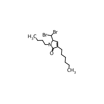 CCCCCCC1=CC(C(Br)Br)N(CCCC)C1=O